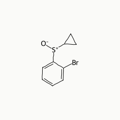 [O-][S+](c1ccccc1Br)C1CC1